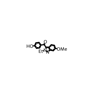 CCn1nc2cc(OC)ccc2c1C(=O)c1ccc(O)cc1